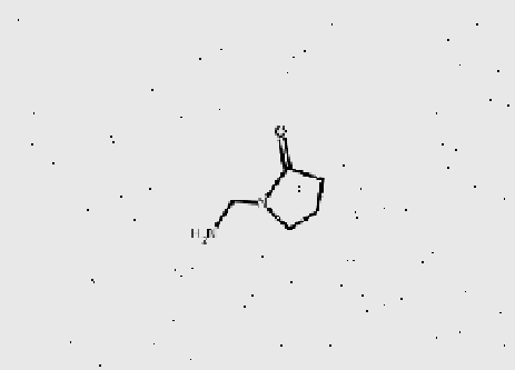 NCN1CCCC1=O